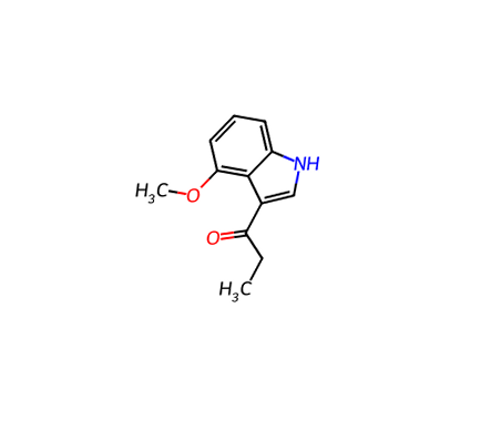 CCC(=O)c1c[nH]c2cccc(OC)c12